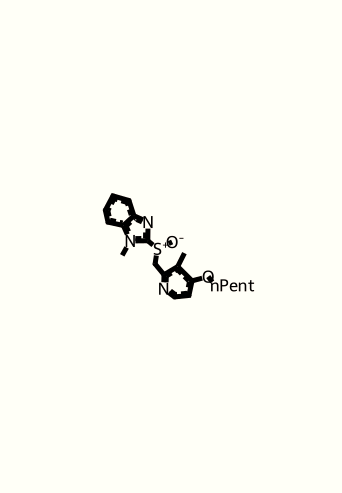 CCCCCOc1ccnc(C[S+]([O-])c2nc3ccccc3n2C)c1C